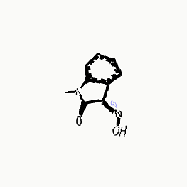 CN1C(=O)/C(=N\O)c2ccccc21